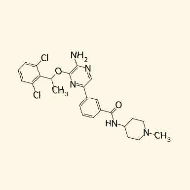 CC(Oc1nc(-c2cccc(C(=O)NC3CCN(C)CC3)c2)cnc1N)c1c(Cl)cccc1Cl